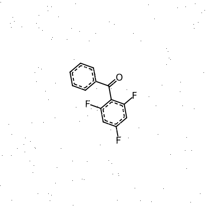 O=C(c1ccccc1)c1c(F)cc(F)cc1F